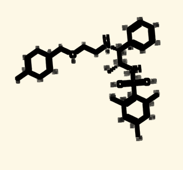 CC1=CCC(COCCN[C@H](c2ccccc2)[C@@H](C)NS(=O)(=O)c2c(C)cc(C)cc2C)=CC1